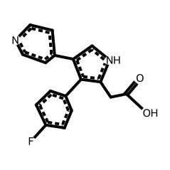 O=C(O)Cc1[nH]cc(-c2ccncc2)c1-c1ccc(F)cc1